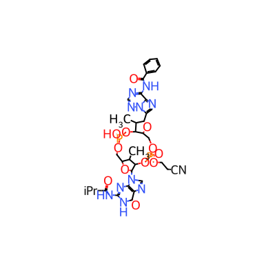 CC(C)C(=O)Nc1nc2c(ncn2C2OC3COP(O)OC4C(COP(=O)(OCCC#N)OC2C3C)OC(c2cnc3c(NC(=O)c5ccccc5)ncnn23)C4C)c(=O)[nH]1